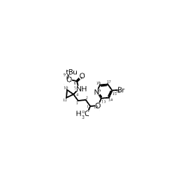 CC(CCC1(NC(=O)OC(C)(C)C)CC1)Oc1cc(Br)ccn1